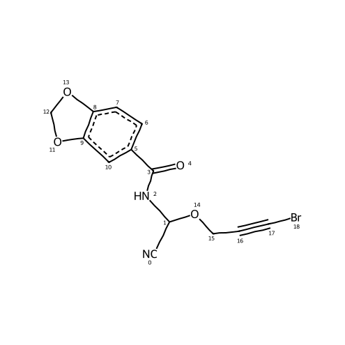 N#CC(NC(=O)c1ccc2c(c1)OCO2)OCC#CBr